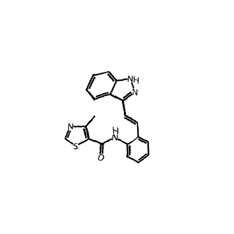 Cc1ncsc1C(=O)Nc1ccccc1C=Cc1n[nH]c2ccccc12